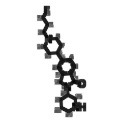 O=C1c2ccc(C3CCN(CCCF)CC3)cc2CN1C1CCCNC1